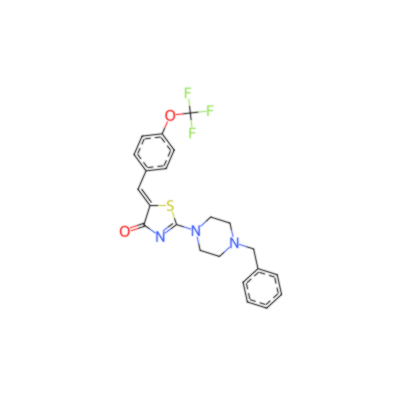 O=C1N=C(N2CCN(Cc3ccccc3)CC2)SC1=Cc1ccc(OC(F)(F)F)cc1